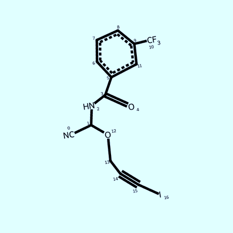 N#CC(NC(=O)c1cccc(C(F)(F)F)c1)OCC#CI